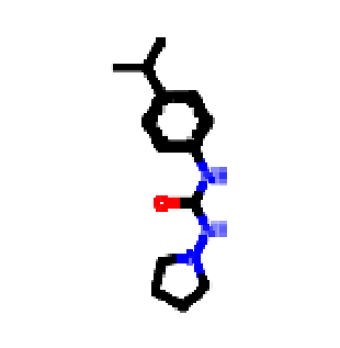 CC(C)c1ccc(NC(=O)NN2CCCC2)cc1